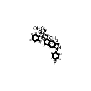 C[C@]12Cc3cnn(-c4ccc(F)cc4)c3C=C1CC[C@@H]2CN(CC=O)S(=O)(=O)c1ccccc1F